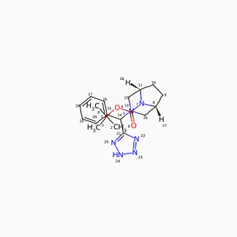 CC(C)(C)OC(=O)N1[C@@H]2CC[C@H]1CN(C(c1ccccc1)c1nn[nH]n1)C2